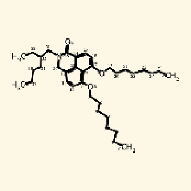 CCCCCCCCOc1ccc2c3c(ccc(OCCCCCCCC)c13)C(=O)N(CC(CC)CCCC)C2